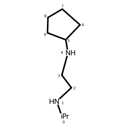 CC(C)NCCNC1CCCC1